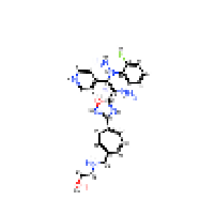 N/C(=C(/c1ccncc1)N(N)c1ccccc1F)c1nc(C2=CC=CC(CNCCO)=CC2)no1